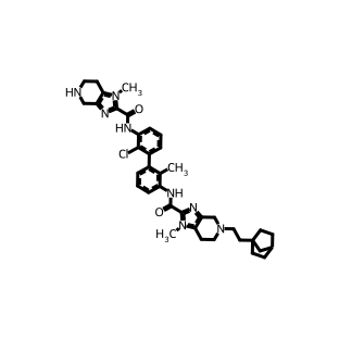 Cc1c(NC(=O)c2nc3c(n2C)CCN(CCC24CCC(CC2)C4)C3)cccc1-c1cccc(NC(=O)c2nc3c(n2C)CCNC3)c1Cl